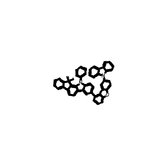 CC1(C)c2ccccc2-c2ccc3c4cc(-c5cccc6oc7ccc(-n8c9ccccc9c9ccccc98)cc7c56)ccc4n(-c4ccccc4)c3c21